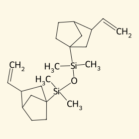 C=CC1CC2([Si](C)(C)O[Si](C)(C)C34CCC(C3)C(C=C)C4)CCC1C2